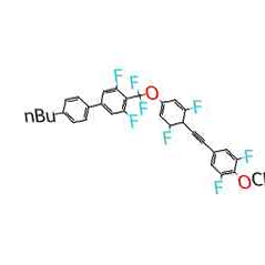 CCCCc1ccc(-c2cc(F)c(C(F)(F)OC3=CC(F)C(C#Cc4cc(F)c(OC(F)(F)F)c(F)c4)C(F)=C3)c(F)c2)cc1